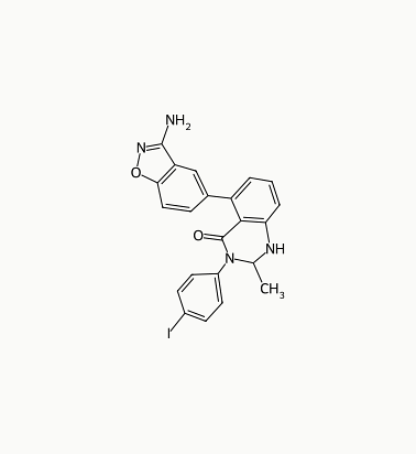 CC1Nc2cccc(-c3ccc4onc(N)c4c3)c2C(=O)N1c1ccc(I)cc1